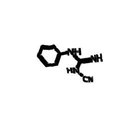 N#CNC(=N)Nc1ccccc1